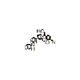 COc1cc(C(CO)n2ccc(-c3ccnc(NC4CCOCC4)n3)cc2=O)ccc1C#N